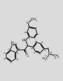 COc1cccc(NC(C(=O)c2c[nH]c3ccccc23)c2ccc(CN(C)C)cc2)c1